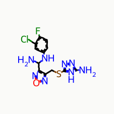 Nc1nnc(SCc2nonc2C(N)Nc2ccc(F)c(Cl)c2)[nH]1